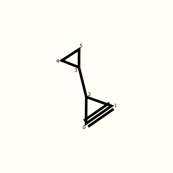 C1#CC1C1CC1